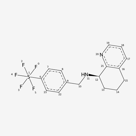 FS(F)(F)(F)(F)c1ccc(CN[C@@H]2CCCc3cccnc32)cc1